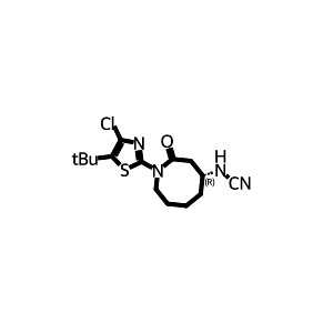 CC(C)(C)c1sc(N2CCCC[C@@H](NC#N)CC2=O)nc1Cl